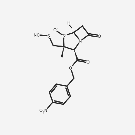 C[C@]1(CSC#N)[C@H](C(=O)OCc2ccc([N+](=O)[O-])cc2)N2C(=O)C[C@@H]2[S+]1[O-]